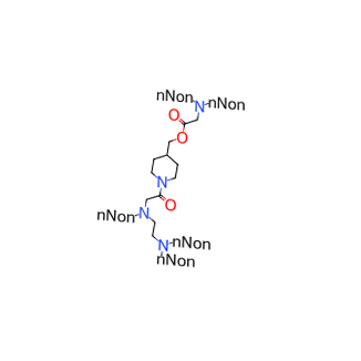 CCCCCCCCCN(CCCCCCCCC)CCN(CCCCCCCCC)CC(=O)N1CCC(COC(=O)CN(CCCCCCCCC)CCCCCCCCC)CC1